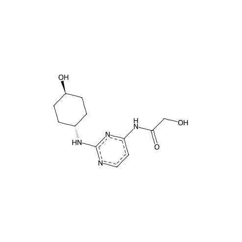 O=C(CO)Nc1ccnc(N[C@H]2CC[C@H](O)CC2)n1